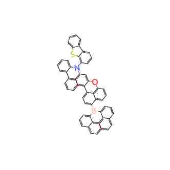 c1ccc(-c2ccccc2N(c2ccc3c(c2)Oc2cccc4c(B(c5cccc6ccccc56)c5cccc6ccccc56)ccc-3c24)c2cccc3c2sc2ccccc23)cc1